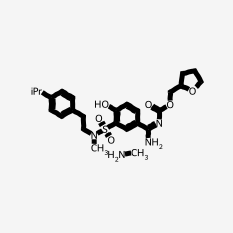 CC(C)c1ccc(CCN(C)S(=O)(=O)c2cc(/C(N)=N\C(=O)OCC3CCCO3)ccc2O)cc1.CN